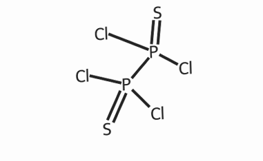 S=P(Cl)(Cl)P(=S)(Cl)Cl